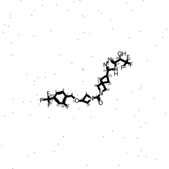 O=C(N1CC(OCc2ccc(C(F)(F)F)cc2F)C1)N1CC2(CC(c3nnc([C@@H](O)C(F)(F)F)[nH]3)C2)C1